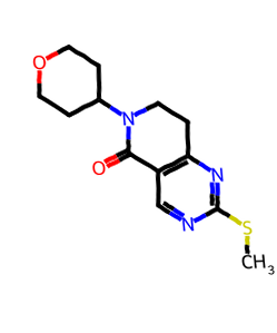 CSc1ncc2c(n1)CCN(C1CCOCC1)C2=O